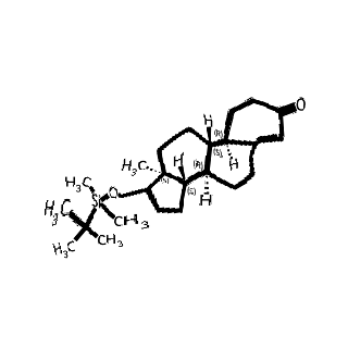 CC(C)(C)[Si](C)(C)OC1CC[C@H]2[C@@H]3CCC4=CC(=O)CC[C@@H]4[C@H]3CC[C@]12C